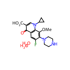 COc1c(N2CCNCC2)c(F)cc2c(=O)c(C(=O)O)cn(C3CC3)c12.O.O